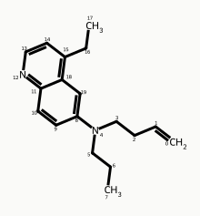 C=CCCN(CCC)c1ccc2nccc(CC)c2c1